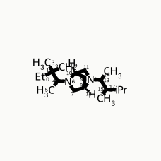 CCC(C)(C)C(C)N1C[C@@H]2C[C@H]1CN2C(C)C(C)C(C)C